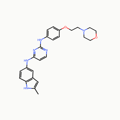 Cc1cc2cc(Nc3ccnc(Nc4ccc(OCCN5CCOCC5)cc4)n3)ccc2[nH]1